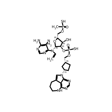 C=CN(c1ncnc(N)c1N)[C@@H]1O[C@H](COP(C)(=O)S)[C@@H](O)[C@H]1OP(=O)(S)OC[C@@H]1CC[C@H](n2cc3c4c(ncnc42)NCCC3)C1